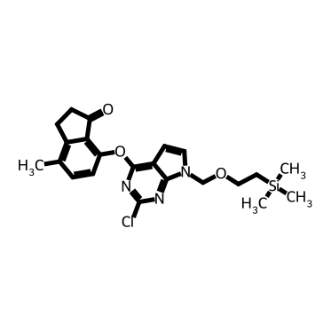 Cc1ccc(Oc2nc(Cl)nc3c2ccn3COCC[Si](C)(C)C)c2c1CCC2=O